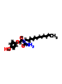 CCCCCCCCCCCCN(C(N)=O)C(=O)COc1ccc(O)cc1